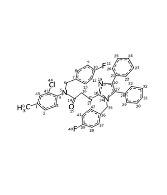 Cc1ccc(N(Cc2ccc(F)cc2)C(=O)CSc2nc(-c3ccccc3)c(-c3ccccc3)n2Cc2ccc(F)cc2)c(Cl)c1